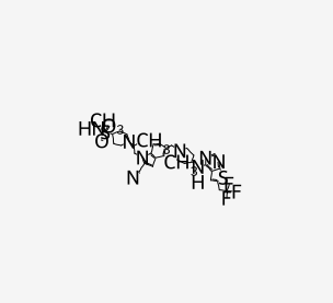 CNS(=O)(=O)C1CCN(C(C)Cn2c(C#N)cc3c(C)c(CN4CCC(Nc5ncnc6sc(CC(F)(F)F)cc56)CC4)ccc32)CC1